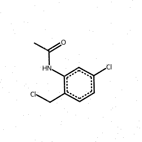 CC(=O)Nc1cc(Cl)ccc1CCl